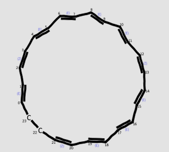 [C]1=C/C=C\C=C\C=C\C=C\C=C\C=C/C=C/C=C/C=C/C=C\CC/1